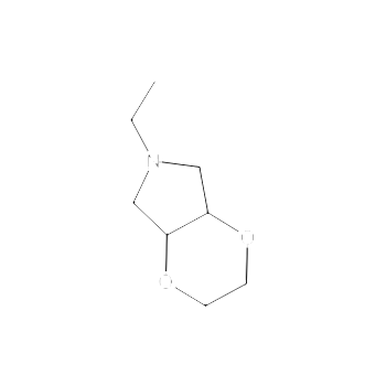 CCN1CC2OCCOC2C1